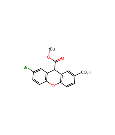 CC(C)(C)OC(=O)C1c2cc(Br)ccc2Oc2ccc(C(=O)O)cc21